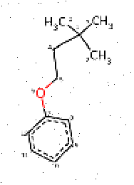 CC(C)(C)CCOc1c[c]ccc1